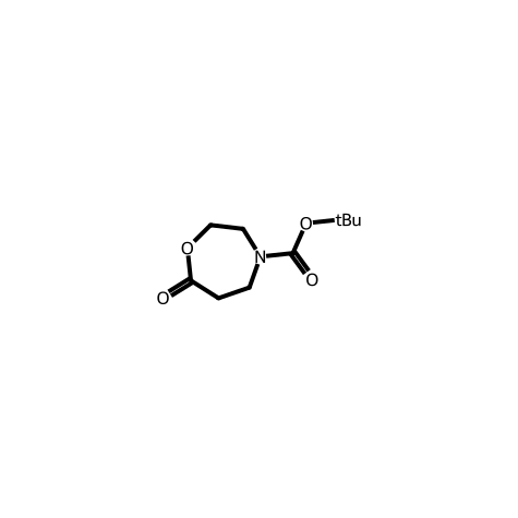 CC(C)(C)OC(=O)N1CCOC(=O)CC1